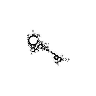 CC[C@H]1OC(=O)[C@H](C)[C@@H](O[C@H]2C[C@@](C)(OC)[C@@H](OS(=O)(=O)CCOCCCc3ccc4c(c3)c(=O)c(C(=O)O)cn4N(C)C)[C@H](C)O2)[C@H](C)[C@@H](O[C@@H]2O[C@H](C)C[C@H](N(C)C)[C@H]2O)[C@](C)(OC)C[C@@H](C)C(=O)[C@H](C)[C@@H](O)[C@]1(C)O